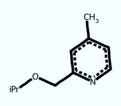 Cc1ccnc(COC(C)C)c1